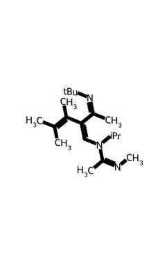 C/N=C(/C)N(/C=C(C(C)=C(C)C)\C(C)=N/C(C)(C)C)C(C)C